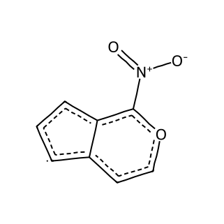 O=[N+]([O-])c1occc2[c]ccc1-2